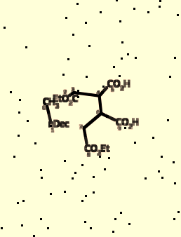 CCCCCCCCCCC.CCOC(=O)CC(C(=O)O)C(CC(=O)OCC)C(=O)O